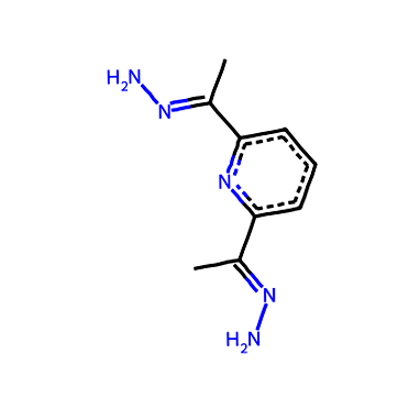 CC(=NN)c1cccc(C(C)=NN)n1